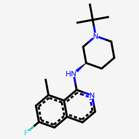 Cc1cc(F)cc2ccnc(N[C@@H]3CCCN(C(C)(C)C)C3)c12